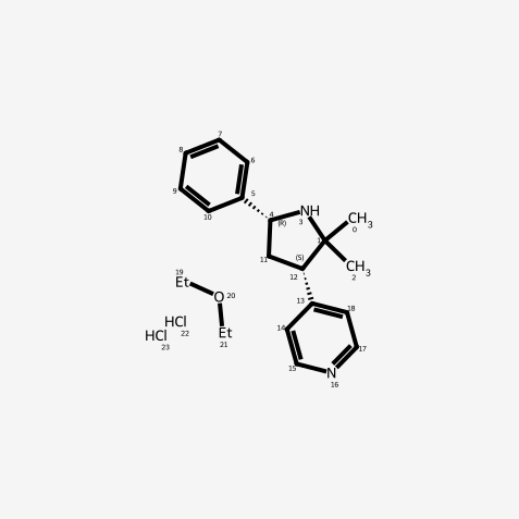 CC1(C)N[C@@H](c2ccccc2)C[C@H]1c1ccncc1.CCOCC.Cl.Cl